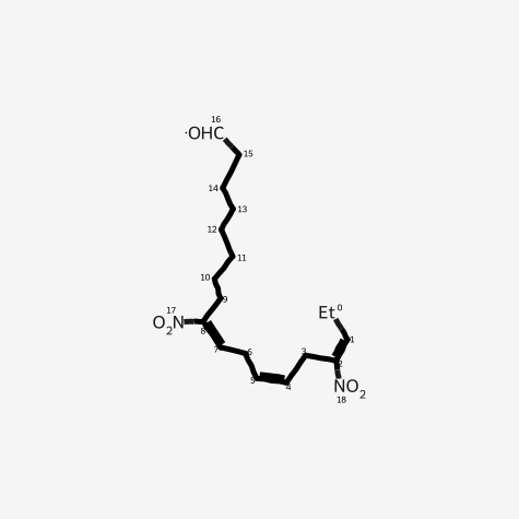 CC/C=C(\C/C=C\C/C=C(\CCCCCCC[C]=O)[N+](=O)[O-])[N+](=O)[O-]